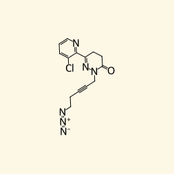 [N-]=[N+]=NCCC#CCN1N=C(c2ncccc2Cl)CCC1=O